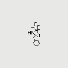 CC1C(F)(F)[C@]1(F)NC(=O)Cc1ccccc1